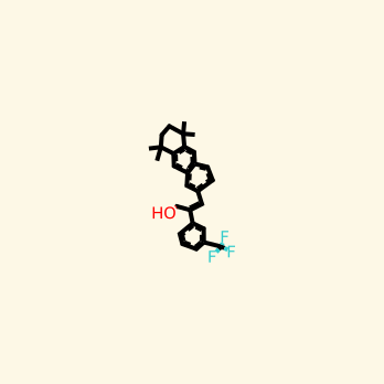 CC1(C)CCC(C)(C)c2cc3cc(C=C(CO)c4cccc(C(F)(F)F)c4)ccc3cc21